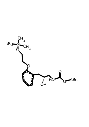 CC(C)(C)OC(=O)NC[C@H](O)Cc1ccccc1OCCO[Si](C)(C)C(C)(C)C